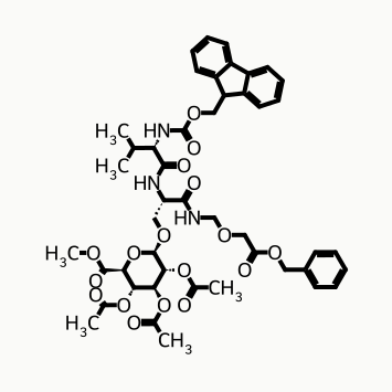 COC(=O)[C@H]1O[C@@H](OC[C@H](NC(=O)[C@@H](NC(=O)OCC2c3ccccc3-c3ccccc32)C(C)C)C(=O)NCOCC(=O)OCc2ccccc2)[C@H](OC(C)=O)[C@@H](OC(C)=O)[C@@H]1OC(C)=O